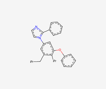 CC(C)Cc1cc(-n2ccnc2-c2ccccc2)cc(Oc2ccccc2)c1C(C)C